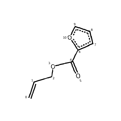 C=CCOC(=O)c1ccco1